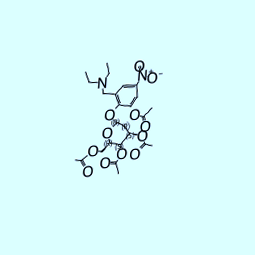 CCN(CC)Cc1cc([N+](=O)[O-])ccc1O[C@H]1O[C@H](COC(C)=O)[C@H](OC(C)=O)[C@H](OC(C)=O)[C@H]1OC(C)=O